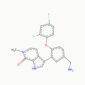 Cn1ccc2c(-c3cc(CN)ccc3Oc3ccc(F)cc3F)c[nH]c2c1=O